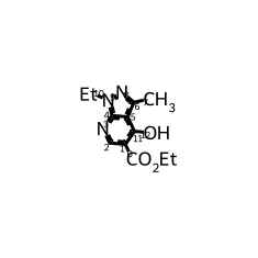 CCOC(=O)c1cnc2c(c(C)nn2CC)c1O